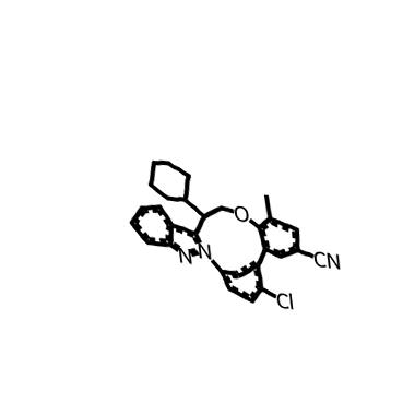 Cc1cc(C#N)cc2c1OCC(C1CCCCC1)c1c3ccccc3nn1-c1ccc(Cl)c-2c1